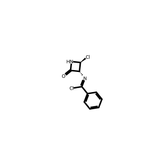 O=C1N[C@@H](Cl)[C@@H]1N=C(Cl)c1ccccc1